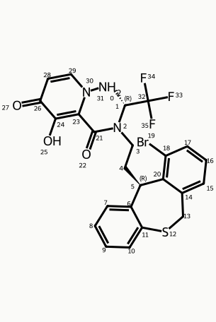 C[C@@H](N(CC[C@@H]1c2ccccc2SCc2cccc(Br)c21)C(=O)c1c(O)c(=O)ccn1N)C(F)(F)F